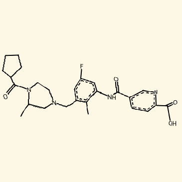 Cc1c(CN2CCN(C(=O)C3CCCC3)C(C)C2)cc(F)cc1NC(=O)c1ccc(C(=O)O)nc1